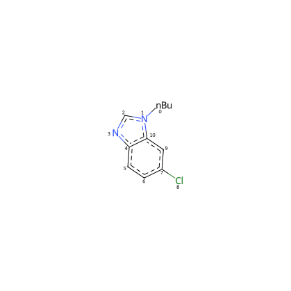 CCCCn1cnc2ccc(Cl)cc21